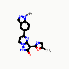 CCCn1ncc2cc(-c3ccn4[nH]c(=O)c(-c5ncc(C)o5)c4n3)ccc21